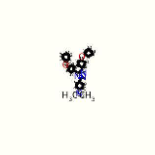 CN(C)c1ccc(-c2nnc(-c3ccc(Oc4ccccc4)cc3)c(-c3ccc(Oc4ccccc4)cc3)n2)cc1